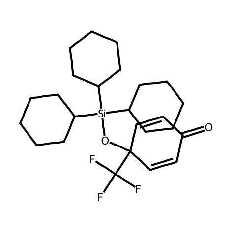 O=C1C=CC(O[Si](C2CCCCC2)(C2CCCCC2)C2CCCCC2)(C(F)(F)F)C=C1